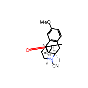 COc1ccc2c(c1)[C@]13CCN(C#N)[C@H](C2)[C@@H]1[C@@H](C)CC(=O)C3